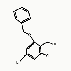 OCc1c(Cl)cc(Br)cc1OCc1ccccc1